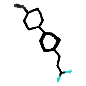 CCCCCCCCCCC1CCC(c2ccc(CCC(F)F)cc2)CC1